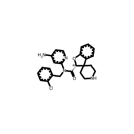 Nc1ccnc(N(Cc2ccccc2Cl)C(=O)[C@@H]2Oc3ccccc3C23CCNCC3)c1